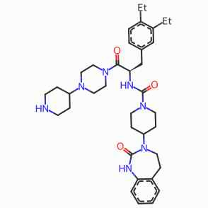 CCc1ccc(C[C@@H](NC(=O)N2CCC(N3CCc4ccccc4NC3=O)CC2)C(=O)N2CCN(C3CCNCC3)CC2)cc1CC